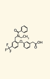 CCN(Cc1cc(C(F)(F)F)ccc1Oc1cccc(CC(=O)O)c1)C(=O)c1ccccc1